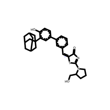 O=C1N=C(N2CCCC2CO)S/C1=C/c1cccc(-c2ccc(O)c(C34CC5CC(CC(C5)C3)C4)c2)c1